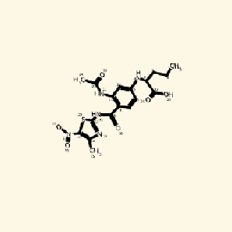 CCCC(Nc1ccc(C(=O)Nc2nc(C)c([N+](=O)[O-])s2)c(NC(C)=O)c1)C(=O)O